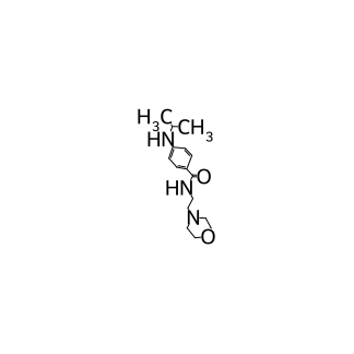 CC(C)Nc1ccc(C(=O)NCCN2CCOCC2)cc1